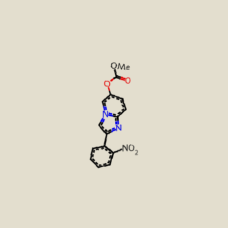 COC(=O)Oc1ccc2nc(-c3ccccc3[N+](=O)[O-])cn2c1